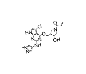 C=CC(=O)N1C[C@H](COc2nc(Nc3cnn(C)c3)nc3[nH]cc(Cl)c23)[C@@H](O)C1